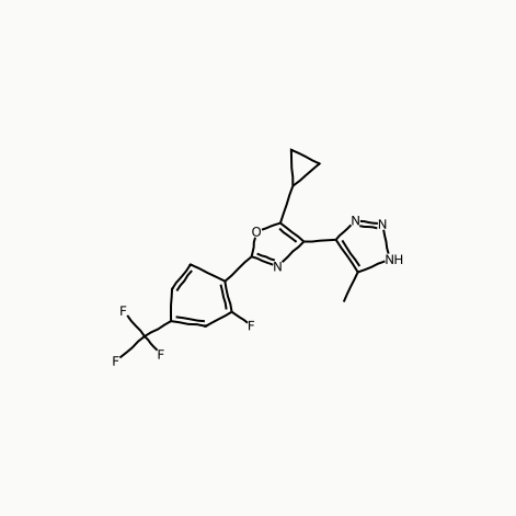 Cc1[nH]nnc1-c1nc(-c2ccc(C(F)(F)F)cc2F)oc1C1CC1